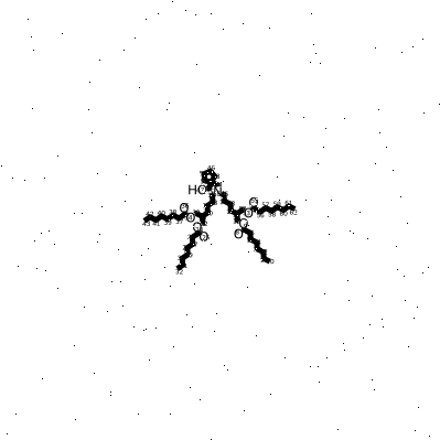 CCCCCCCC(=O)OCC(CCCCN(CCCCC(COC(=O)CCCCCCC)COC(=O)CCCCCCC)CC1(CO)CCCC1)COC(=O)CCCCCCC